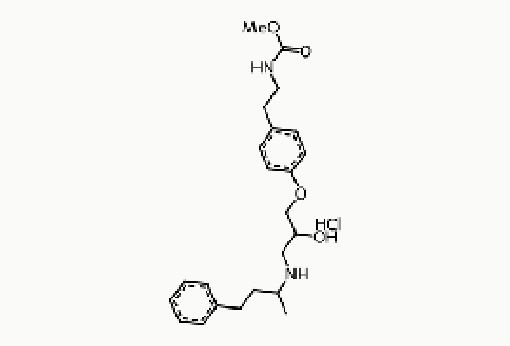 COC(=O)NCCc1ccc(OCC(O)CNC(C)CCc2ccccc2)cc1.Cl